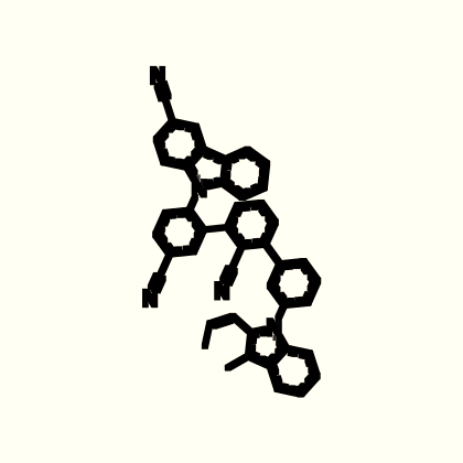 C/C=C\c1c(C)c2ccccc2n1-c1cccc(-c2cccc(-c3cc(C#N)ccc3-n3c4ccccc4c4cc(C#N)ccc43)c2C#N)c1